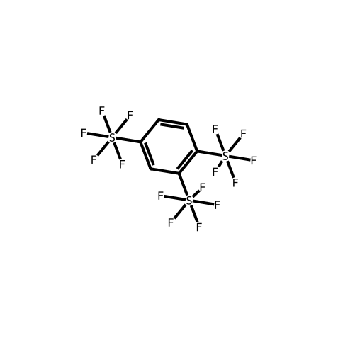 FS(F)(F)(F)(F)c1ccc(S(F)(F)(F)(F)F)c(S(F)(F)(F)(F)F)c1